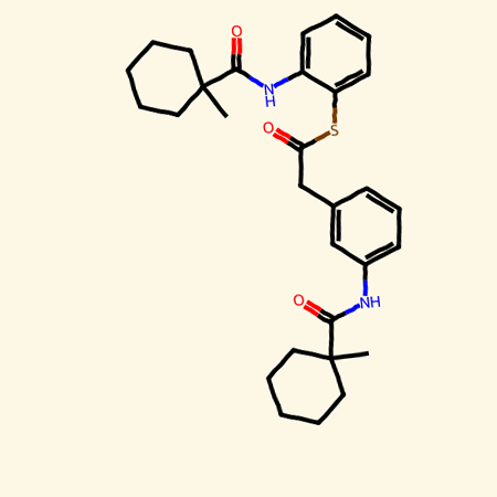 CC1(C(=O)Nc2cccc(CC(=O)Sc3ccccc3NC(=O)C3(C)CCCCC3)c2)CCCCC1